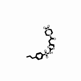 CCCc1ccc(S(=O)(=O)Nc2nc(CC(=O)N3CCS(=O)(=O)CC3)cs2)cc1